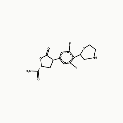 NC(=O)[C@H]1CN(c2cc(F)c(C3CNCCS3)c(F)c2)C(=O)O1